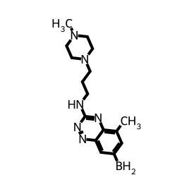 Bc1cc(C)c2nc(NCCCN3CCN(C)CC3)nnc2c1